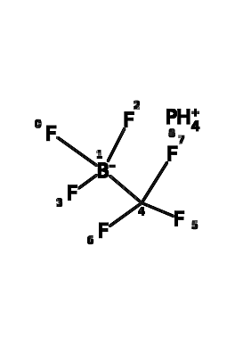 F[B-](F)(F)C(F)(F)F.[PH4+]